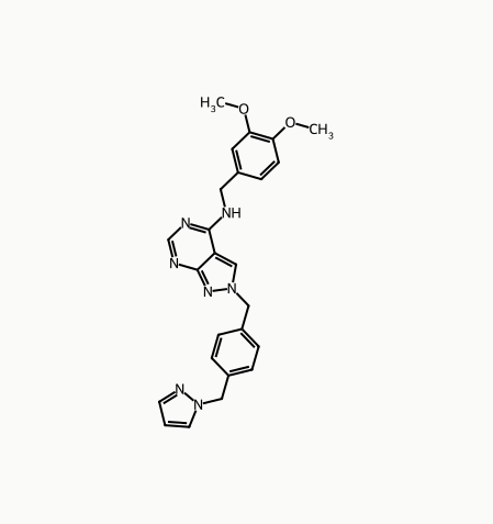 COc1ccc(CNc2ncnc3nn(Cc4ccc(Cn5cccn5)cc4)cc23)cc1OC